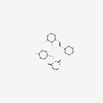 COc1ccc(Cn2c(=O)cc[nH]c2=O)cc1.Nc1cccc(C=Cc2ccccc2)c1N